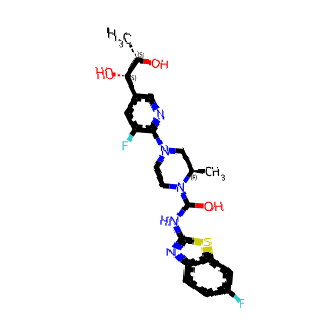 C[C@H](O)[C@@H](O)c1cnc(N2CCN(C(O)Nc3nc4ccc(F)cc4s3)[C@H](C)C2)c(F)c1